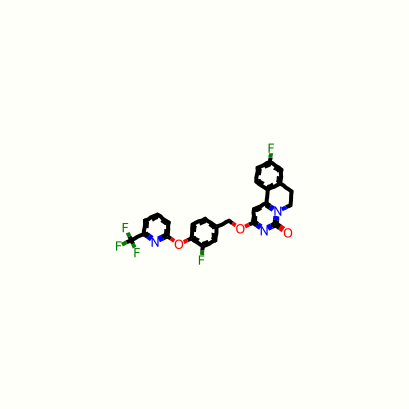 O=c1nc(OCc2ccc(Oc3cccc(C(F)(F)F)n3)c(F)c2)cc2n1CCc1cc(F)ccc1-2